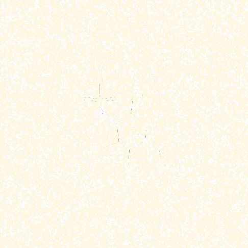 CCCCC1OC(CO)C(O)C(O)C1NS(C)(=O)=O